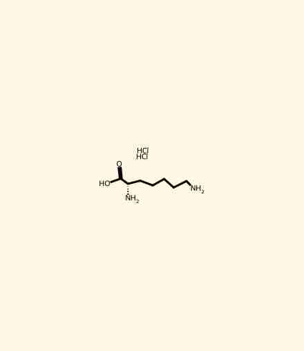 Cl.Cl.NCCCCC[C@H](N)C(=O)O